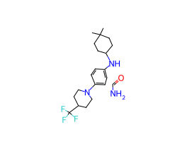 CC1(C)CCC(Nc2ccc(N3CCC(C(F)(F)F)CC3)cc2)CC1.NC=O